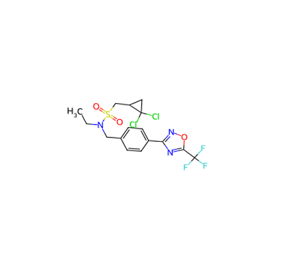 CCN(Cc1ccc(-c2noc(C(F)(F)F)n2)cc1)S(=O)(=O)CC1CC1(Cl)Cl